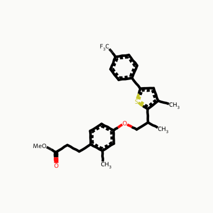 COC(=O)CCc1ccc(OCC(C)c2sc(-c3ccc(C(F)(F)F)cc3)cc2C)cc1C